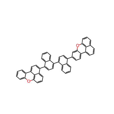 c1ccc2c(c1)Oc1cccc3c(-c4ccc(-c5ccc(-c6ccc7c(c6)Oc6cccc8cccc-7c68)c6ccccc56)c5ccccc45)ccc-2c13